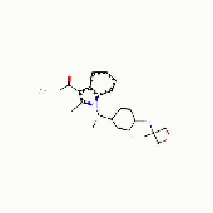 COC(=O)c1c(C)n([C@H](C)C2CCC(NC3(C(F)(F)F)COC3)CC2)c2ccccc12